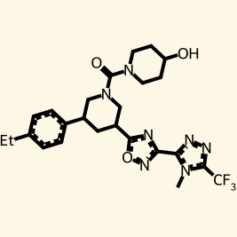 CCc1ccc(C2CC(c3nc(-c4nnc(C(F)(F)F)n4C)no3)CN(C(=O)N3CCC(O)CC3)C2)cc1